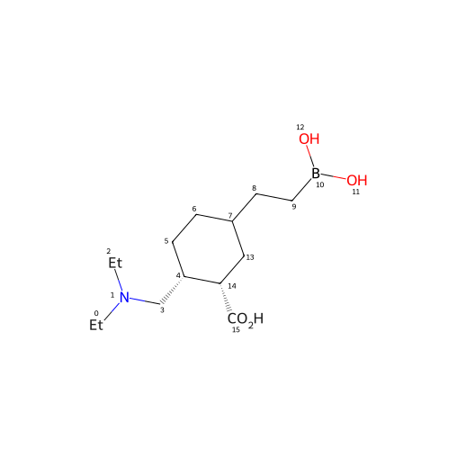 CCN(CC)C[C@@H]1CCC(CCB(O)O)C[C@@H]1C(=O)O